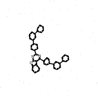 c1ccc(-c2cccc(-c3ccc(-c4nc(-c5ccc(-c6cccc(-c7ccccc7)c6)cc5)c5c(n4)oc4ccccc45)cc3)c2)cc1